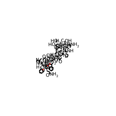 CSCC[C@H](NC(=O)[C@@H](NC(=O)[C@H](CC(N)=O)NC(=O)[C@@H]1CCCN1C(=O)[C@H](CC(N)=O)NC(=O)[C@H](CCCCN)NC(=O)[C@H](Cc1c[nH]c2ccccc12)NC(=O)[C@H](C)NC(=O)[C@H](Cc1c[nH]cn1)NC(=O)[C@H](Cc1ccccc1)NC(=O)[C@H](CCC(N)=O)NC(=O)CN)[C@@H](C)O)C(=O)N[C@@H](CO)C(=O)O